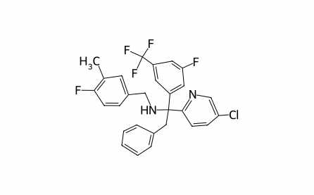 Cc1cc(CNC(Cc2ccccc2)(c2cc(F)cc(C(F)(F)F)c2)c2ccc(Cl)cn2)ccc1F